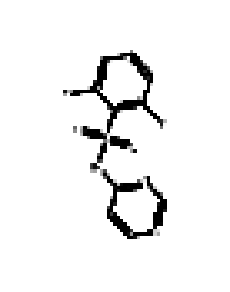 O=S(=O)(Nc1ccncn1)c1c(F)cccc1F